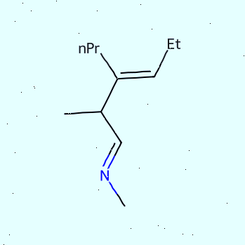 CC/C=C(\CCC)C(C)/C=N/C